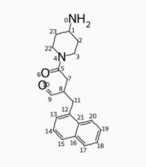 NC1CCN(C(=O)CC(C=O)Cc2cccc3ccccc23)CC1